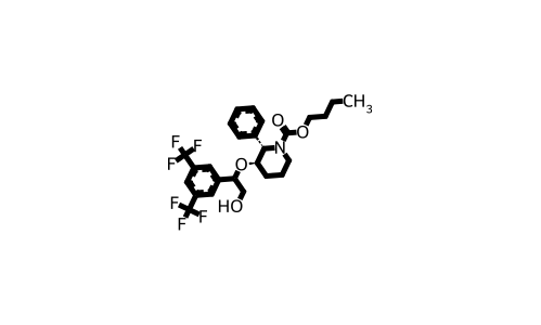 CCCCOC(=O)N1CCC[C@H](OC(CO)c2cc(C(F)(F)F)cc(C(F)(F)F)c2)[C@@H]1c1ccccc1